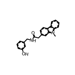 Cn1c2ccccc2c2ccc(CC(=O)NCc3cccc(O)c3)cc21